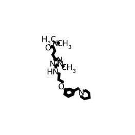 CN(C)C(=O)CCc1nc(NCCCOc2cccc(CN3CCCCC3)c2)n(C)n1